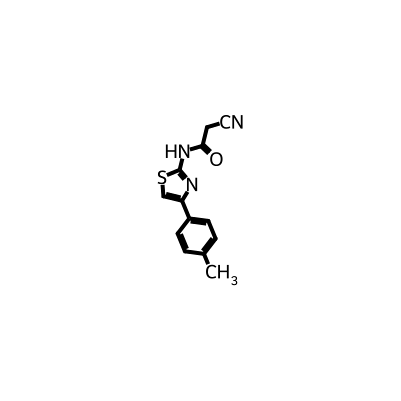 Cc1ccc(-c2csc(NC(=O)CC#N)n2)cc1